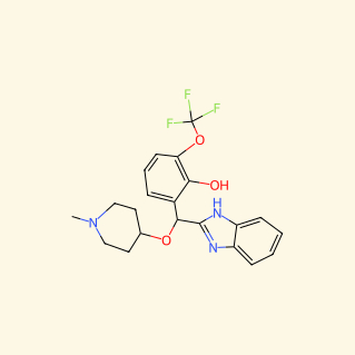 CN1CCC(OC(c2nc3ccccc3[nH]2)c2cccc(OC(F)(F)F)c2O)CC1